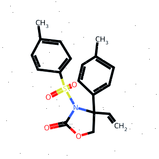 C=CC1(c2ccc(C)cc2)COC(=O)N1S(=O)(=O)c1ccc(C)cc1